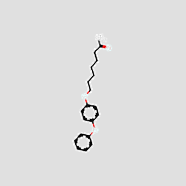 O=C(CCCCCCOc1ccc(Oc2ccccc2)cc1)C(F)(F)F